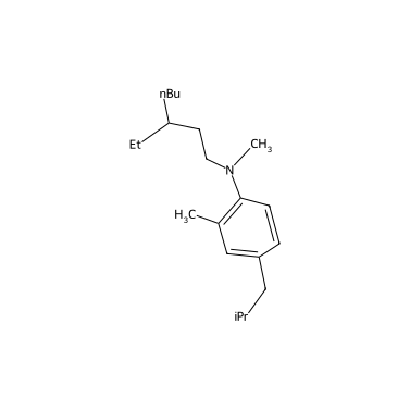 CCCCC(CC)CCN(C)c1ccc(CC(C)C)cc1C